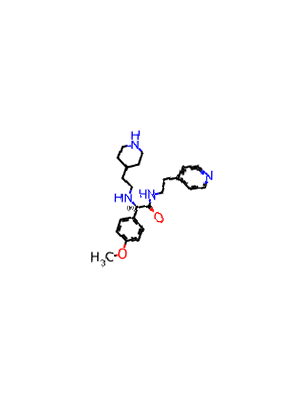 COc1ccc([C@@H](NCCC2CCNCC2)C(=O)NCCc2ccncc2)cc1